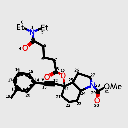 CCN(CC)C(=O)CCCC(=O)OC1(C#Cc2cccc(C)c2)CCCC2C1CCN2C(=O)OC